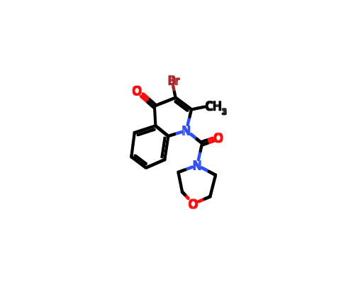 Cc1c(Br)c(=O)c2ccccc2n1C(=O)N1CCOCC1